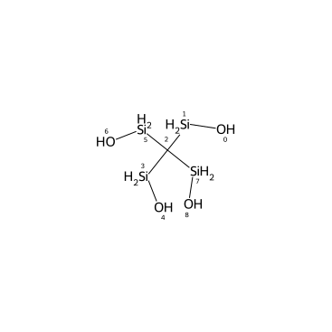 O[SiH2]C([SiH2]O)([SiH2]O)[SiH2]O